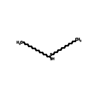 CCCCCCCCCCCCCCCC(S)SCCCCCCCCCCCCCC